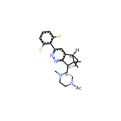 CC(=O)N1CCN(C)[C@H]([C@@]23CC[C@@H](c4cc(-c5c(F)cccc5F)nnc42)C3(C)C)C1